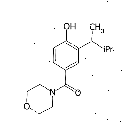 CC(C)C(C)c1cc(C(=O)N2CCOCC2)ccc1O